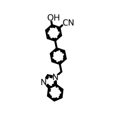 N#Cc1cc(-c2ccc(Cn3cnc4ccccc43)cc2)ccc1O